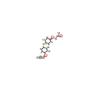 CCCCOc1ccc(Sc2ccc(OCC3CO3)cc2)cc1